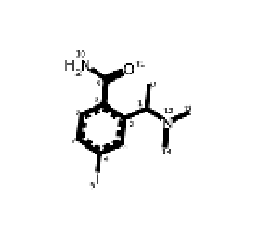 CC(c1cc(I)ccc1C(N)=O)N(C)C